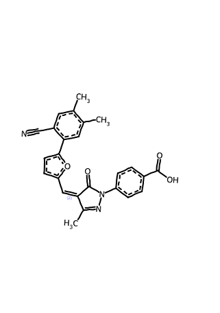 CC1=NN(c2ccc(C(=O)O)cc2)C(=O)/C1=C\c1ccc(-c2cc(C)c(C)cc2C#N)o1